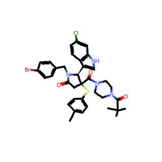 Cc1ccc(S[C@@]2(C(=O)N3CCN(C(=O)C(C)(C)C)CC3)CC(=O)N(Cc3ccc(Br)cc3)[C@H]2c2c[nH]c3cc(Cl)ccc23)cc1